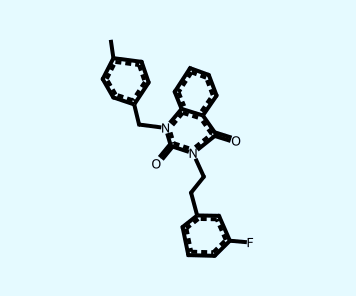 Cc1ccc(Cn2c(=O)n(CCc3cccc(F)c3)c(=O)c3ccccc32)cc1